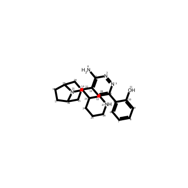 Nc1nnc(-c2ccccc2O)cc1N1CC2CCC(C1)N2CC1CCCNC1